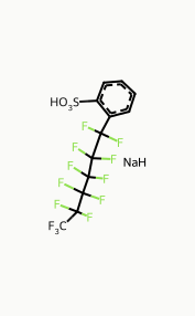 O=S(=O)(O)c1ccccc1C(F)(F)C(F)(F)C(F)(F)C(F)(F)C(F)(F)C(F)(F)F.[NaH]